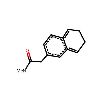 CNC(=O)Cc1ccc2c(c1)=CCCC=2